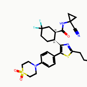 N#CC1(NC(=O)[C@@H]2CC(F)(F)CC[C@H]2c2nc(CCCF)sc2-c2ccc(N3CCS(=O)(=O)CC3)cc2)CC1